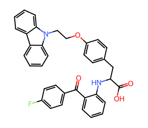 O=C(c1ccc(F)cc1)c1ccccc1NC(Cc1ccc(OCCn2c3ccccc3c3ccccc32)cc1)C(=O)O